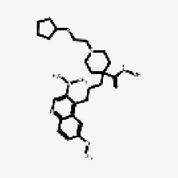 COc1ccc2ncc(N(C)C)c(CCCC3(C(=O)NO)CCN(CCSC4CCCC4)CC3)c2c1